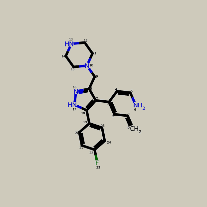 C=C/C=C(\C=C/N)c1c(CN2CCNCC2)n[nH]c1-c1ccc(F)cc1